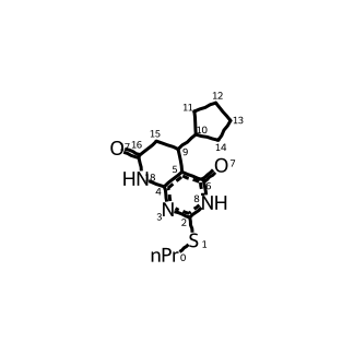 CCCSc1nc2c(c(=O)[nH]1)C(C1CCCC1)CC(=O)N2